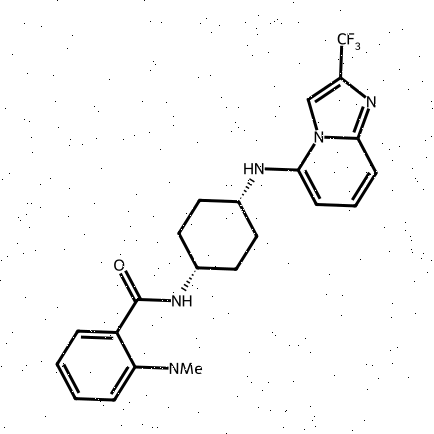 CNc1ccccc1C(=O)N[C@H]1CC[C@@H](Nc2cccc3nc(C(F)(F)F)cn23)CC1